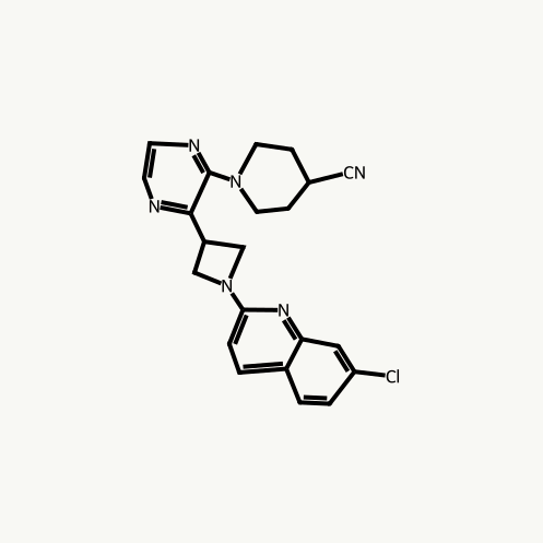 N#CC1CCN(c2nccnc2C2CN(c3ccc4ccc(Cl)cc4n3)C2)CC1